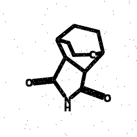 O=C1NC(=O)C2C3CCCC(CC3)C12